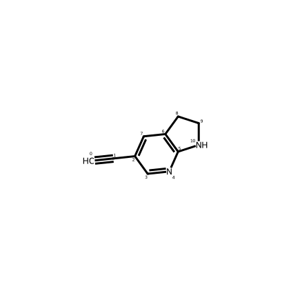 C#Cc1cnc2c(c1)CCN2